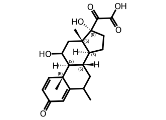 CC1C[C@@H]2[C@H](C(O)C[C@@]3(C)[C@H]2CC[C@]3(O)C(=O)C(=O)O)[C@@]2(C)C=CC(=O)C=C12